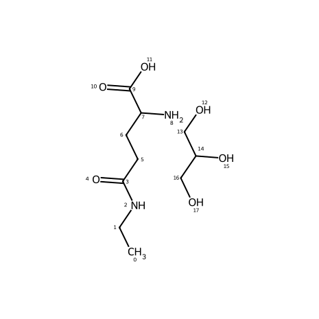 CCNC(=O)CCC(N)C(=O)O.OCC(O)CO